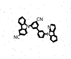 N#Cc1cc(-c2cccc(-n3c4ccccc4c4cccnc43)c2)cc(-n2c3ccccc3c3cc(C#N)ccc32)c1